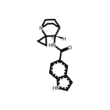 O=C(N[C@H]1C2CCN(CC2)C12CC2)c1ccc2[nH]ccc2c1